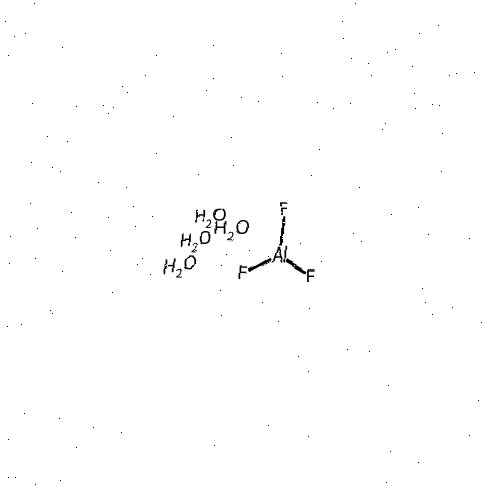 O.O.O.O.[F][Al]([F])[F]